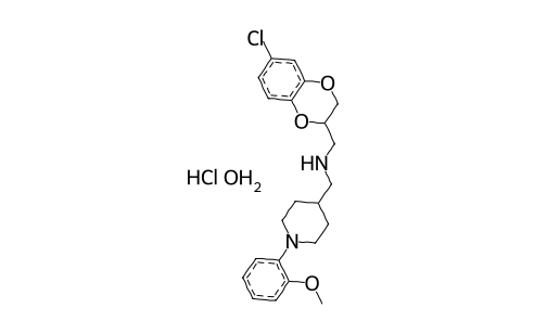 COc1ccccc1N1CCC(CNCC2COc3cc(Cl)ccc3O2)CC1.Cl.O